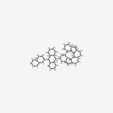 c1ccc2cc(-c3c4ccccc4c(-c4cc5c6c(c4)oc4ccc7ccc8oc9cccc-5c9c8c7c46)c4ccccc34)ccc2c1